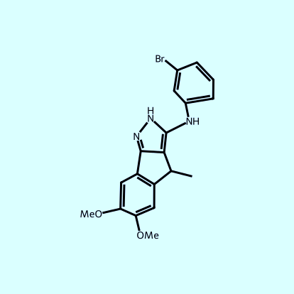 COc1cc2c(cc1OC)C(C)c1c-2n[nH]c1Nc1cccc(Br)c1